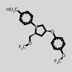 O=C(O)c1ccc(N2C[C@@H](Oc3ccc(OC(F)(F)F)cc3)C[C@H]2COC(F)(F)F)cc1